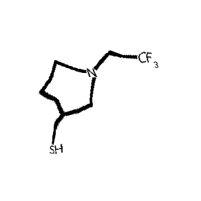 FC(F)(F)CN1CCC(S)C1